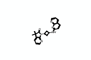 CC1(C)C(=O)N([C@H]2C[C@H](Nc3ccc4cccnc4n3)C2)c2ncccc21